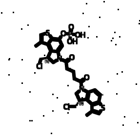 Cc1csc2[c]cc3c(c12)[C@H](CCl)CN3C(=O)CCCC(=O)N1C[C@@H](CCl)c2c1cc(OP(=O)(O)O)c1scc(C)c21